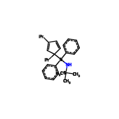 CC(C)C1=CC(C(C)C)([Si](N[Si](C)(C)C)(c2ccccc2)c2ccccc2)C=C1